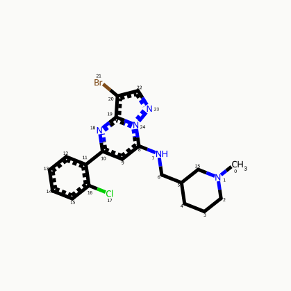 CN1CCCC(CNc2cc(-c3ccccc3Cl)nc3c(Br)cnn23)C1